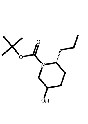 CCC[C@@H]1CCC(O)CN1C(=O)OC(C)(C)C